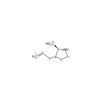 C=CCC1CCN[C@@H]1C(=O)O